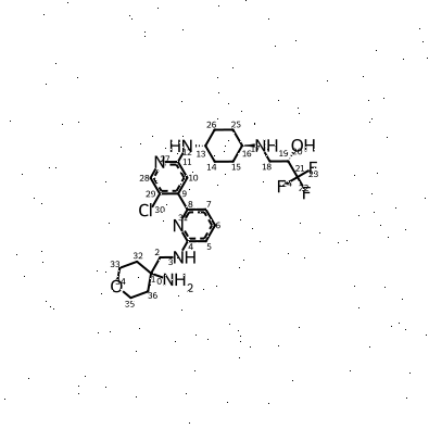 NC1(CNc2cccc(-c3cc(N[C@H]4CC[C@H](NC[C@H](O)C(F)(F)F)CC4)ncc3Cl)n2)CCOCC1